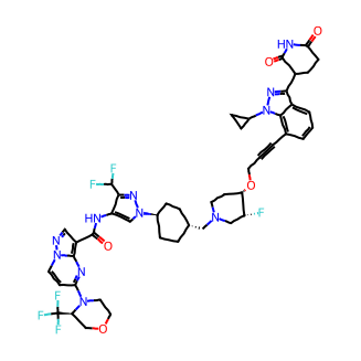 O=C1CCC(c2nn(C3CC3)c3c(C#CCO[C@H]4CCN(C[C@H]5CC[C@H](n6cc(NC(=O)c7cnn8ccc(N9CCOC[C@H]9C(F)(F)F)nc78)c(C(F)F)n6)CC5)C[C@H]4F)cccc23)C(=O)N1